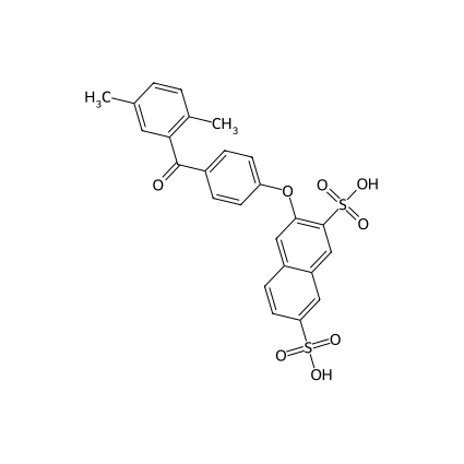 Cc1ccc(C)c(C(=O)c2ccc(Oc3cc4ccc(S(=O)(=O)O)cc4cc3S(=O)(=O)O)cc2)c1